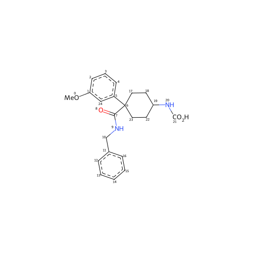 COc1cccc(C2(C(=O)NCc3ccccc3)CCC(NC(=O)O)CC2)c1